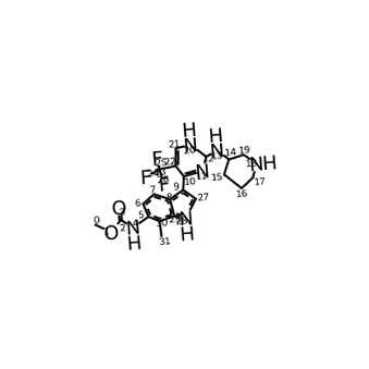 COC(=O)Nc1ccc2c(C3=NC(NC4CCCNC4)NC=C3C(F)(F)F)c[nH]c2c1C